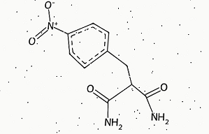 NC(=O)C(Cc1ccc([N+](=O)[O-])cc1)C(N)=O